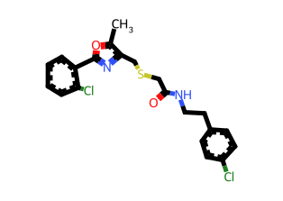 Cc1oc(-c2ccccc2Cl)nc1CSCC(=O)NCCc1ccc(Cl)cc1